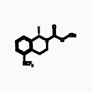 C[C@H]1c2cccc(NC(F)(F)F)c2CCN1C(=O)OC(C)(C)C